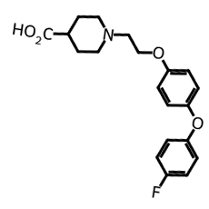 O=C(O)C1CCN(CCOc2ccc(Oc3ccc(F)cc3)cc2)CC1